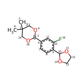 CC1(C)COB(c2ccc(C3OCCO3)c(F)c2)OC1